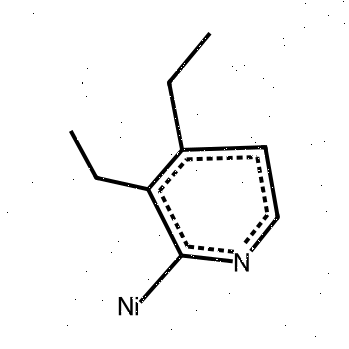 CCc1ccn[c]([Ni])c1CC